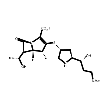 CNCC[C@@H](O)[C@@H]1C[C@@H](SC2=C(C(=O)O)N3C(=O)[C@H]([C@@H](C)O)[C@H]3[C@H]2C)CN1